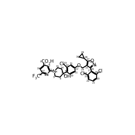 O=C(O)c1cc(N2CCC(O)(c3ccc(OCc4c(-c5c(Cl)cccc5Cl)noc4C4CC4)cc3Cl)CC2)nc(C(F)(F)F)c1